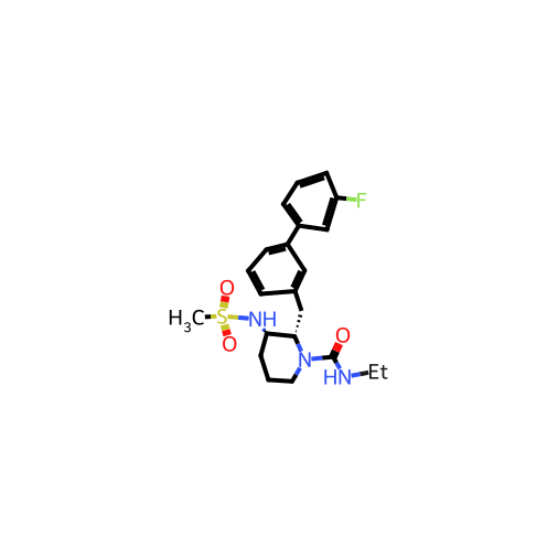 CCNC(=O)N1CCC[C@H](NS(C)(=O)=O)[C@@H]1Cc1cccc(-c2cccc(F)c2)c1